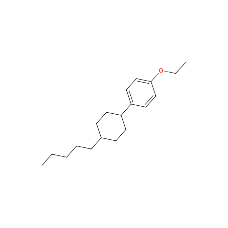 CCCCCC1CCC(c2ccc(OCC)cc2)CC1